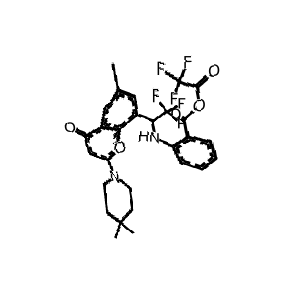 Cc1cc(C(Nc2ccccc2C(=O)OC(=O)C(F)(F)F)C(F)(F)F)c2oc(N3CCC(C)(C)CC3)cc(=O)c2c1